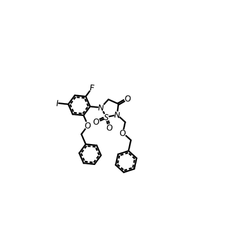 O=C1CN(c2c(F)cc(I)cc2OCc2ccccc2)S(=O)(=O)N1COCc1ccccc1